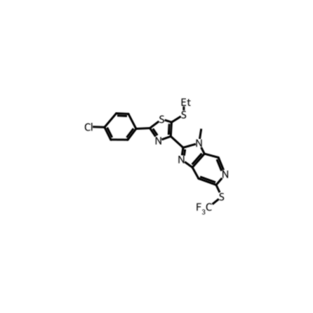 CCSc1sc(-c2ccc(Cl)cc2)nc1-c1nc2cc(SC(F)(F)F)ncc2n1C